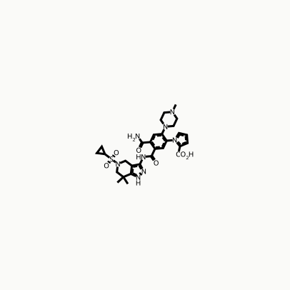 CN1CCN(c2cc(C(N)=O)c(C(=O)Nc3n[nH]c4c3CN(S(=O)(=O)C3CC3)CC4(C)C)cc2-n2cccc2C(=O)O)CC1